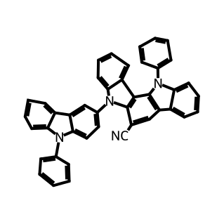 N#Cc1cc2c3ccccc3n(-c3ccccc3)c2c2c3ccccc3n(-c3ccc4c(c3)c3ccccc3n4-c3ccccc3)c12